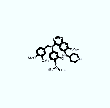 CC(C)(C)OC=O.COc1cc2ncnc(N(Cc3ccc(OC)c(OC)c3)c3ccc(F)c(Cl)c3)c2cc1NC1CCNCC1